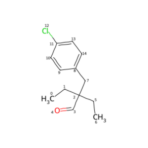 CCC(C=O)(CC)Cc1ccc(Cl)cc1